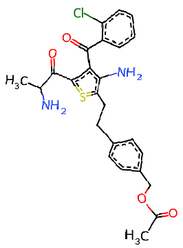 CC(=O)OCc1ccc(CCc2sc(C(=O)C(C)N)c(C(=O)c3ccccc3Cl)c2N)cc1